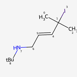 CC(C)(I)/C=C/CNC(C)(C)C